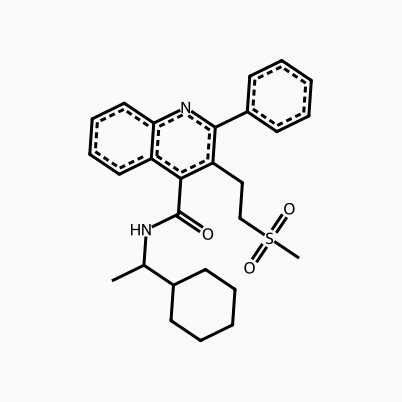 CC(NC(=O)c1c(CCS(C)(=O)=O)c(-c2ccccc2)nc2ccccc12)C1CCCCC1